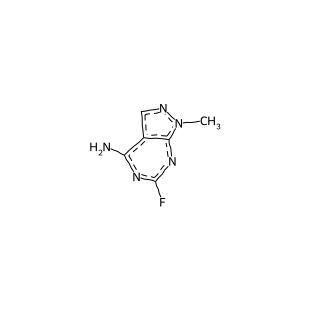 Cn1ncc2c(N)nc(F)nc21